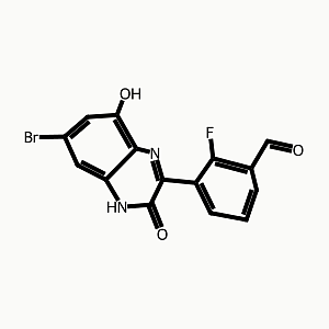 O=Cc1cccc(-c2nc3c(O)cc(Br)cc3[nH]c2=O)c1F